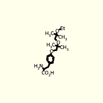 CCOC(C)(C)COC(C)(C)COc1ccc(CC(N)C(=O)O)cc1